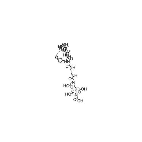 CC(C)C[C@H]1C(=O)N[C@H](C(=O)NCC(=O)NCCCNC(=O)CN(CCN(CCN(CC(=O)O)CC(=O)O)CC(=O)O)CC(=O)O)Cc2ccc(cc2)OCCC[C@@H]1C(=O)NO